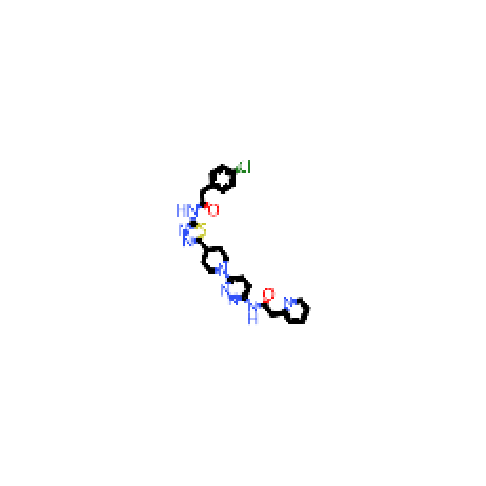 O=C(Cc1ccccn1)Nc1ccc(N2CCC(c3nnc(NC(=O)Cc4ccc(Cl)cc4)s3)CC2)nn1